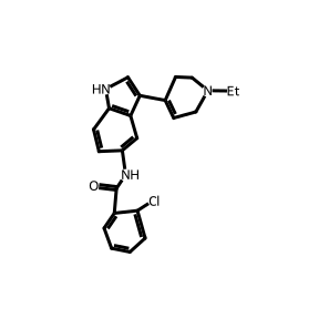 CCN1CC=C(c2c[nH]c3ccc(NC(=O)c4ccccc4Cl)cc23)CC1